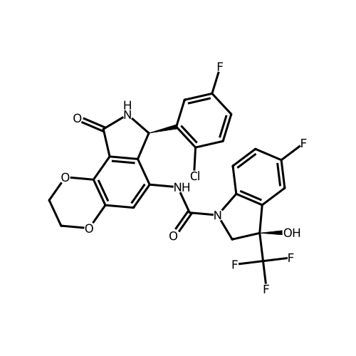 O=C1N[C@@H](c2cc(F)ccc2Cl)c2c(NC(=O)N3C[C@@](O)(C(F)(F)F)c4cc(F)ccc43)cc3c(c21)OCCO3